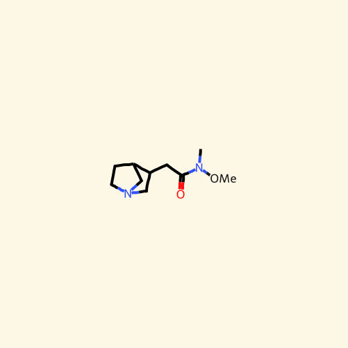 CON(C)C(=O)CC1CN2CCC1C2